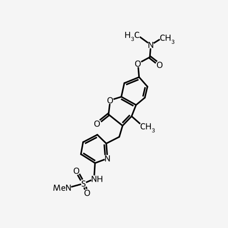 CNS(=O)(=O)Nc1cccc(Cc2c(C)c3ccc(OC(=O)N(C)C)cc3oc2=O)n1